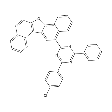 Clc1ccc(-c2nc(-c3ccccc3)nc(-c3cc4c(oc5ccc6ccccc6c54)c4ccccc34)n2)cc1